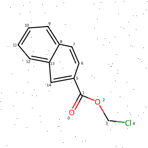 O=C(OCCl)c1ccc2ccccc2c1